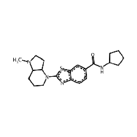 CN1CCC2C1CCCN2c1nc2ccc(C(=O)NC3CCCC3)cc2s1